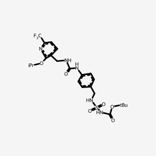 CC(C)Oc1nc(C(F)(F)F)ccc1CNC(=O)Nc1ccc(CNS(=O)(=O)NC(=O)OC(C)(C)C)cc1